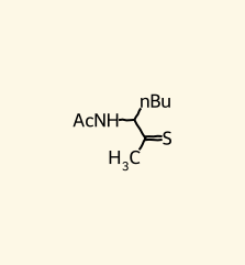 CCCCC(NC(C)=O)C(C)=S